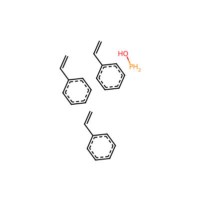 C=Cc1ccccc1.C=Cc1ccccc1.C=Cc1ccccc1.OP